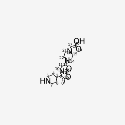 CCC(C1CCNCC1)[N+]1(C)CC(N2CCN(CC(=O)O)CC2)OC1=O